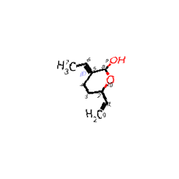 C=CC1CC/C(=C\C)C(O)O1